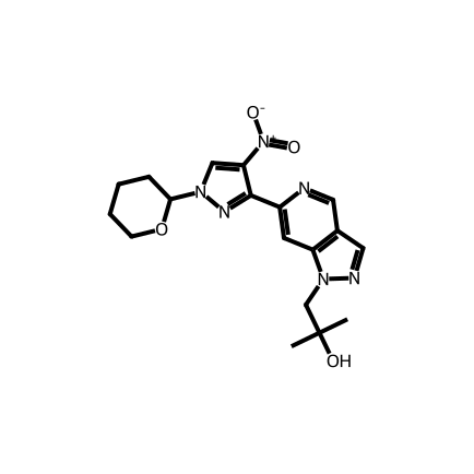 CC(C)(O)Cn1ncc2cnc(-c3nn(C4CCCCO4)cc3[N+](=O)[O-])cc21